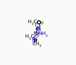 Cc1ccn(C(C)C2=NN(c3ccn(Cc4c(F)ccc(C)c4F)n3)C(N)S2)n1